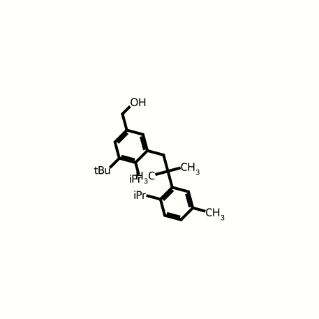 Cc1ccc(C(C)C)c(C(C)(C)Cc2cc(CO)cc(C(C)(C)C)c2C(C)C)c1